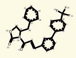 O=C(C=Cc1cccc(-c2ccc(C(F)(F)F)cc2)c1)N1C(=O)OCC1Cc1ccccc1